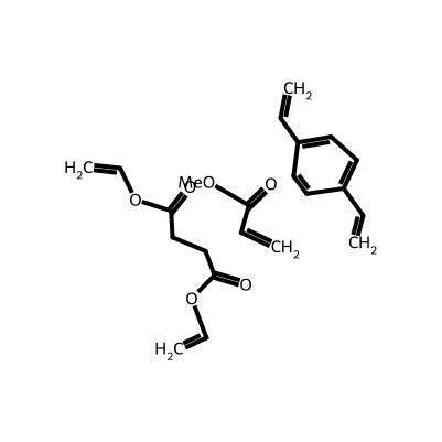 C=CC(=O)OC.C=COC(=O)CCC(=O)OC=C.C=Cc1ccc(C=C)cc1